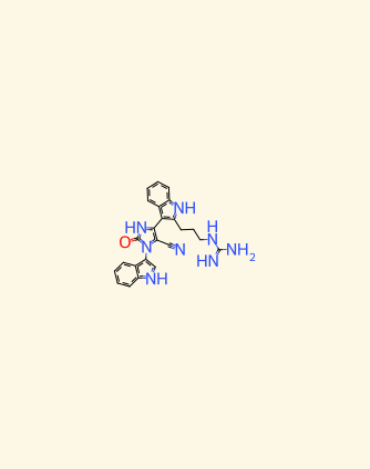 N#Cc1c(-c2c(CCCNC(=N)N)[nH]c3ccccc23)[nH]c(=O)n1-c1c[nH]c2ccccc12